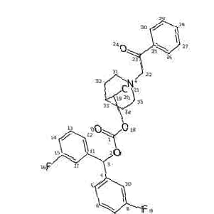 O=C(OC(c1cccc(F)c1)c1cccc(F)c1)OC1C[N+]2(CC(=O)c3ccccc3)CCC1CC2